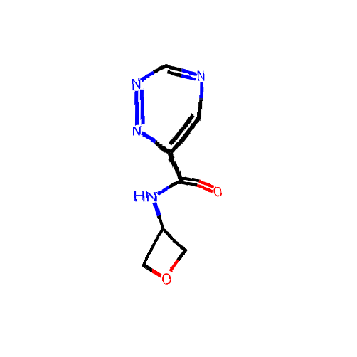 O=C(NC1COC1)c1cncnn1